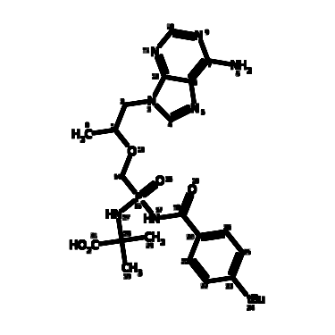 CC(Cn1cnc2c(N)ncnc21)OCP(=O)(NC(=O)c1ccc(C(C)(C)C)cc1)NC(C)(C)C(=O)O